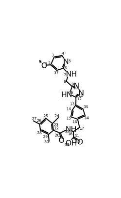 COc1ccnc(NCc2nnc(-c3ccc(CC(NC(=O)c4c(C)cc(C)cc4C)C(=O)O)cc3)[nH]2)c1